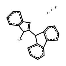 [F-].[F-].[F-].[Ti+3][CH]1C(C2c3ccccc3-c3ccccc32)=Cc2ccccc21